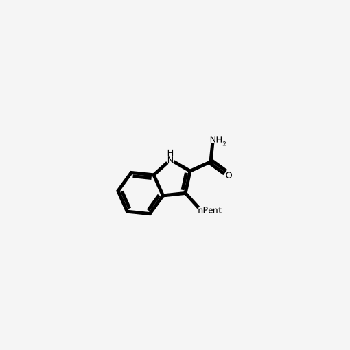 CCCCCc1c(C(N)=O)[nH]c2ccccc12